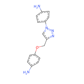 Nc1ccc(OCc2cn(-c3ccc(N)cc3)nn2)cc1